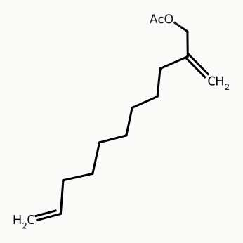 C=CCCCCCCCC(=C)COC(C)=O